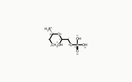 B[C@@H](CC)OC(O)COP(=O)(O)O